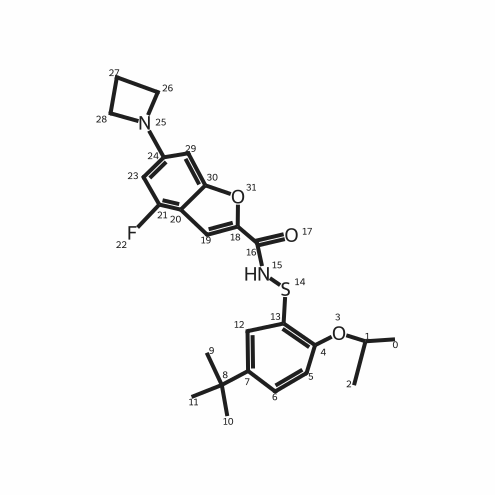 CC(C)Oc1ccc(C(C)(C)C)cc1SNC(=O)c1cc2c(F)cc(N3CCC3)cc2o1